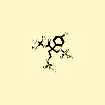 CC(C)(C)OC(=O)C(CCOS(C)(=O)=O)(COS(C)(=O)=O)c1ccc(Br)cc1